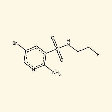 Nc1ncc(Br)cc1S(=O)(=O)NCCF